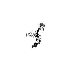 CC(C)(C)OC(=O)NCC#Cc1cc(C(=O)N2CCN(Cc3ccc(F)cc3)CC2)cnc1C(=O)O